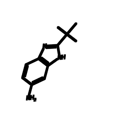 CC(C)(C)c1nc2ccc(N)cc2[nH]1